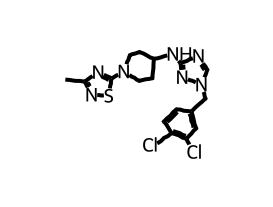 Cc1nsc(N2CCC(Nc3ncn(Cc4ccc(Cl)c(Cl)c4)n3)CC2)n1